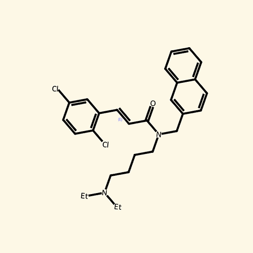 CCN(CC)CCCCN(Cc1ccc2ccccc2c1)C(=O)/C=C/c1cc(Cl)ccc1Cl